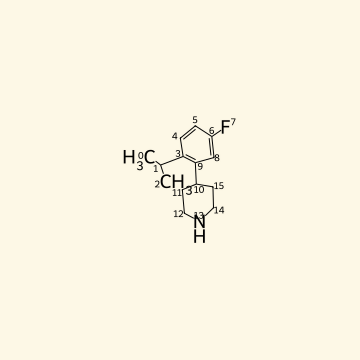 CC(C)c1ccc(F)cc1C1CCNCC1